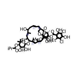 CCc1c(Cl)c(O)c(Cl)c(O)c1C(=O)O[C@H]1[C@H](O)[C@H](OC)[C@H](OC/C2=C\C=C\CC(O)/C(C)=C/C(CC)[C@@H](O[C@@H]3OC(C)(C)[C@@H](OC(=O)C(C)C)[C@H](O)[C@@H]3O)/C(C)=C/C(C)=C/CC(C(C)O)OC2=O)O[C@@H]1C